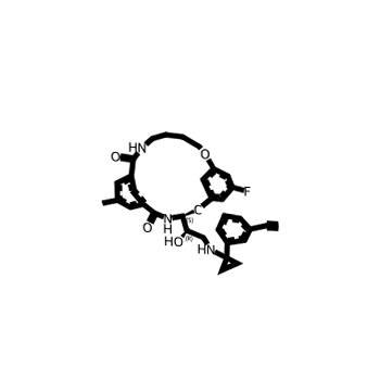 C#Cc1cccc(C2(NC[C@@H](O)[C@@H]3Cc4cc(F)cc(c4)OCCCCNC(=O)c4cc(C)cc(c4)C(=O)N3)CC2)c1